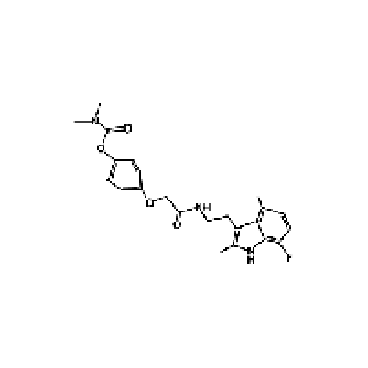 Cc1[nH]c2c(F)ccc(C)c2c1CCNC(=O)COc1ccc(OC(=O)N(C)C)cc1